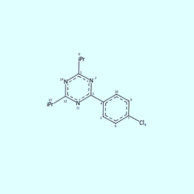 CC(C)c1nc(-c2ccc(Cl)cc2)nc(C(C)C)n1